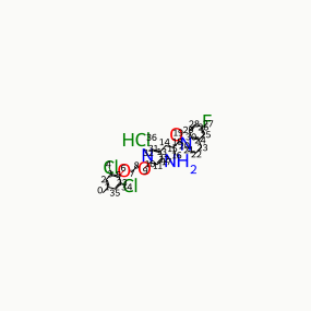 Cc1cc(Cl)c(OCCOc2ccc(CC(CN)C(=O)N3CCCc4cc(F)ccc43)cn2)c(Cl)c1.Cl